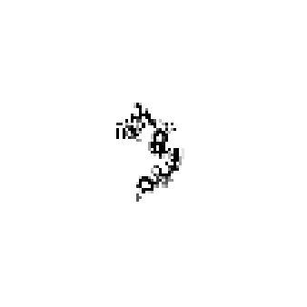 CCN(CCOc1cc2ncnc(Nc3ncc(CC(=O)Nc4cccc(F)c4)s3)c2cc1OC)C(C)OP(=O)(O)O